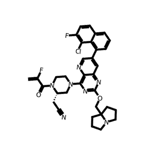 C=C(F)C(=O)N1CCN(c2nc(OCC34CCCN3CCC4)nc3cc(-c4cccc5ccc(F)c(Cl)c45)cnc23)C[C@@H]1CC#N